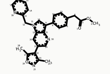 COC(=O)Cc1ccc(-c2cn(Cc3ccccn3)c3cc(-c4c(C)noc4C)cnc23)cc1